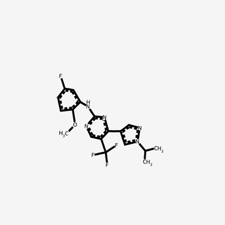 COc1c[c]c(F)cc1Nc1ncc(C(F)(F)F)c(-c2cnn(C(C)C)c2)n1